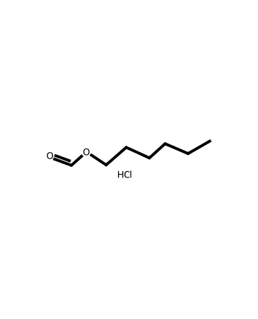 CCCCCCOC=O.Cl